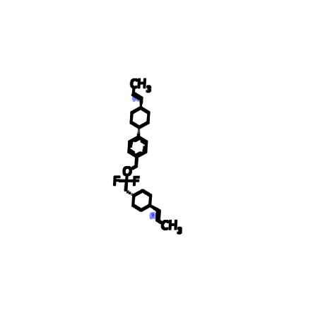 C/C=C/[C@H]1CC[C@H](CC(F)(F)OCc2ccc([C@H]3CC[C@H](/C=C/C)CC3)cc2)CC1